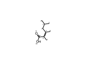 C/C(CC(C)C)=C(\C)C(=O)O